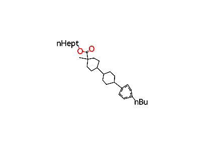 CCCCCCCOC(=O)C1(C)CCC(C2CCC(c3ccc(CCCC)cc3)CC2)CC1